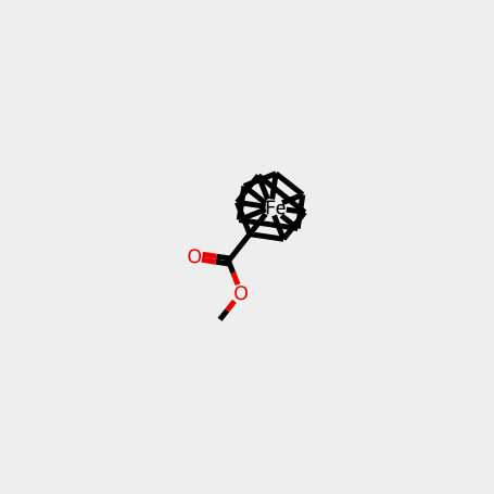 COC(=O)[C]12[CH]3[CH]4[CH]5[CH]1[Fe]45321678[CH]2[CH]1[CH]6[CH]7[CH]28